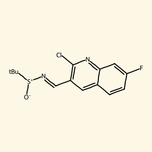 CC(C)(C)[S+]([O-])/N=C/c1cc2ccc(F)cc2nc1Cl